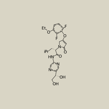 CCOc1ccc(F)c(OC2=CC(=O)N([C@@H](CC(C)C)C(=O)Nc3cnc([C@H](O)CO)cn3)C2)c1F